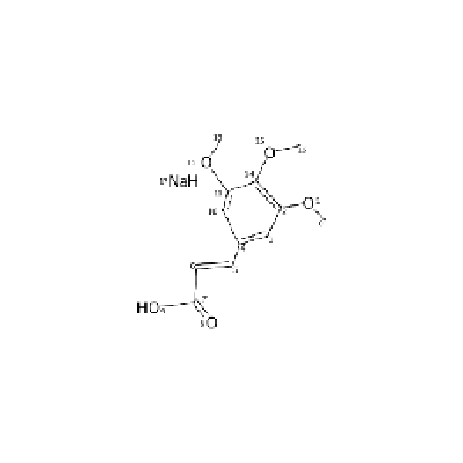 COc1cc(/C=C/C(=O)O)cc(OC)c1OC.[NaH]